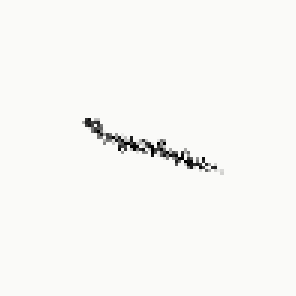 C=CC(=O)NCNC(=O)CCNCNC(=O)CCN1CCN(CCC(=O)NCNC(=O)CCN2CCNCC2)CC1